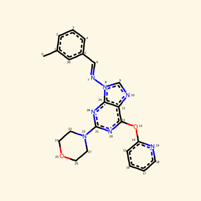 Cc1cccc(C=Nn2cnc3c(Oc4ccccn4)nc(N4CCOCC4)nc32)c1